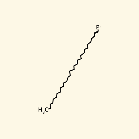 CCCCCCCCCCCCCCCCCCCCCCCCCCCC/C=C/[P]